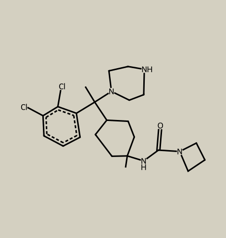 CC1(NC(=O)N2CCC2)CCC(C(C)(c2cccc(Cl)c2Cl)N2CCNCC2)CC1